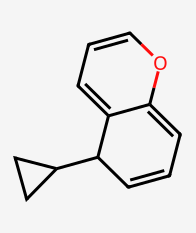 C1=COC2=CC=CC(C3CC3)C2=C1